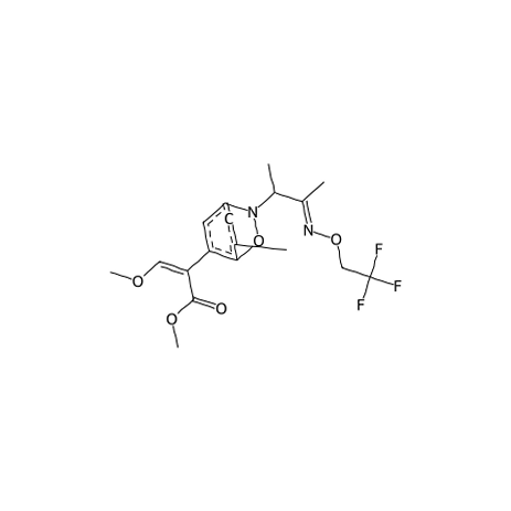 COC=C(C(=O)OC)c1cc2cc(C)c1ON2C(C)C(C)=NOCC(F)(F)F